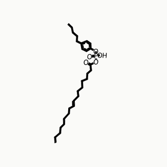 CCCCCCCCC=CCCCCCCCC(=O)OP(=O)(O)Oc1ccc(CCCCC)cc1